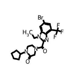 CCn1c(C(=O)N2CCN(C3CCCC3)C(=O)C2)nc2c(C(F)(F)F)cc(Br)cc21